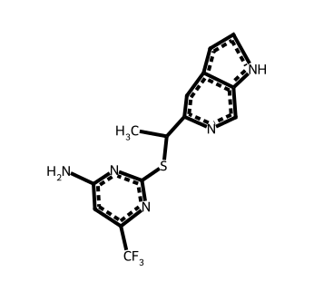 CC(Sc1nc(N)cc(C(F)(F)F)n1)c1cc2cc[nH]c2cn1